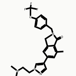 Cc1cc(-c2cnn(CCN(C)C)c2)cc2c1C(=O)N(Cc1ccc(OC(F)(F)F)cc1)C2